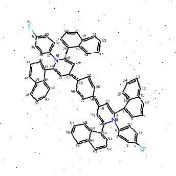 Fc1ccc(N2C(c3cccc4ccccc34)=CC(=c3ccc(=C4C=C(c5cccc6ccccc56)N(c5ccc(F)cc5)C(c5cccc6ccccc56)=C4)cc3)C=C2c2cccc3ccccc23)cc1